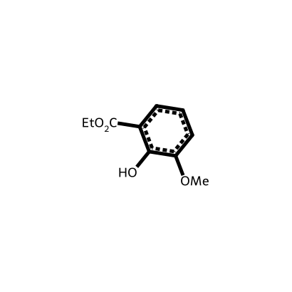 CCOC(=O)c1cccc(OC)c1O